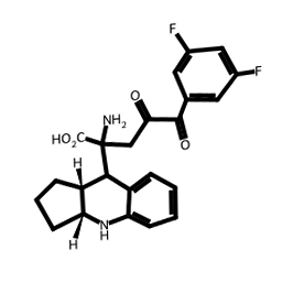 NC(CC(=O)C(=O)c1cc(F)cc(F)c1)(C(=O)O)C1c2ccccc2N[C@@H]2CCC[C@H]12